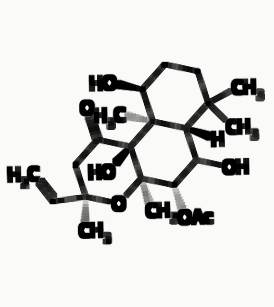 C=C[C@@]1(C)CC(=O)[C@]2(O)[C@@]3(C)[C@@H](O)CCC(C)(C)[C@@H]3C(O)[C@H](OC(C)=O)[C@@]2(C)O1